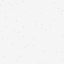 OCCCNCC[CH]c1ccsc1